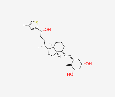 C=C1/C(=C\C=C2/CCC[C@]3(C)[C@@H]([C@H](C)CC[C@@H](O)c4cc(C)cs4)CC[C@@H]23)C[C@@H](O)C[C@@H]1O